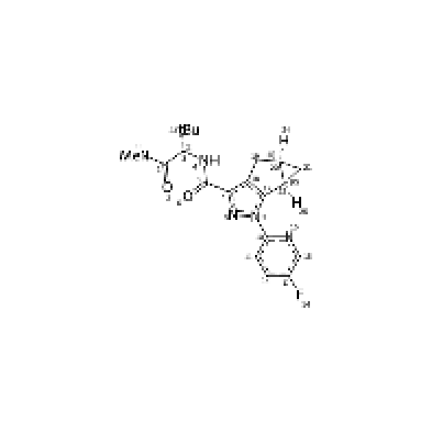 CNC(=O)[C@@H](NC(=O)c1nn(-c2ccc(F)cn2)c2c1C[C@H]1C[C@@H]21)C(C)(C)C